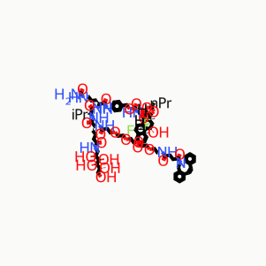 CCCC1O[C@@H]2C[C@H]3[C@@H]4C[C@H](F)C5=CC(=O)C=C[C@]5(C)[C@@]4(F)[C@@H](O)C[C@]3(C)[C@]2(C(=O)CNC(=O)OCc2ccc(NC(=O)[C@H](CCCNC(N)=O)NC(=O)[C@@H](NC(=O)[C@@H](CCCC(=O)NC[C@H](O)[C@@H](O)[C@H](O)[C@H](O)CO)NC(=O)CCOCCOCCOCCOCCNC(=O)CCC(=O)N3Cc4ccccc4C#Cc4ccccc43)C(C)C)cc2)O1